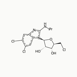 CC(C)Nc1nc2cc(Cl)c(Cl)cc2n1[C@H]1O[C@@H](CCl)[C@H](O)[C@@H]1O